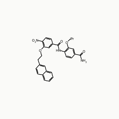 CC(C)Oc1cc(C(N)=O)ccc1NC(=O)c1ccc([N+](=O)[O-])c(OCCc2ccc3ccccc3c2)c1